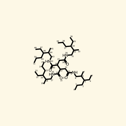 CCCC(CC)C(C)CNC(=O)CC(C(=O)NCC(C)C(CC)CCC)C(CC(=O)NCC(C)C(CC)CCC)C(=O)NCC(C)C(CC)CCC